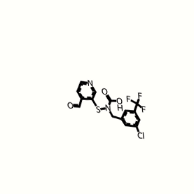 O=Cc1ccncc1SN(Cc1cc(Cl)cc(C(F)(F)F)c1)C(=O)O